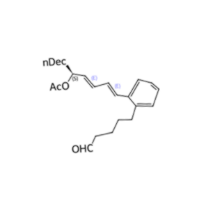 CCCCCCCCCC[C@@H](/C=C/C=C/c1ccccc1CCCCC=O)OC(C)=O